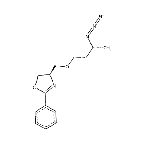 C[C@H](CCOC[C@@H]1COC(c2ccccc2)=N1)N=[N+]=[N-]